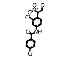 O=CC(c1ccc(NC(=O)c2ccc(Cl)cc2)cc1Cl)[N+](=O)[O-]